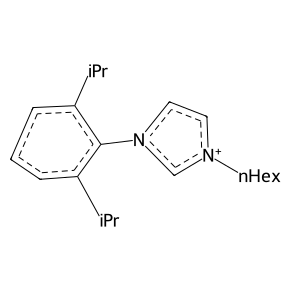 CCCCCC[n+]1ccn(-c2c(C(C)C)cccc2C(C)C)c1